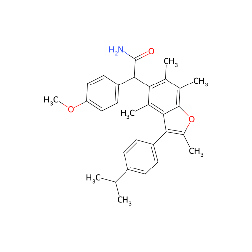 COc1ccc(C(C(N)=O)c2c(C)c(C)c3oc(C)c(-c4ccc(C(C)C)cc4)c3c2C)cc1